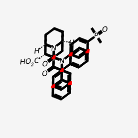 CP(C)(=O)c1ccc(N(C(=O)N2[C@H]3CCC[C@@H]2[C@@H](C(=O)O)N(C(=O)C(c2ccccc2)c2ccccc2)C3)c2ccccc2)cc1